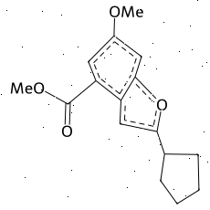 COC(=O)c1cc(OC)cc2oc(C3CCCC3)cc12